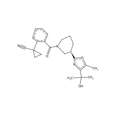 Cc1oc([C@@H]2CCCN(C(=O)c3ccccc3C3(C#N)CC3)C2)nc1C(C)(C)O